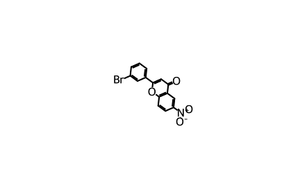 O=c1cc(-c2cccc(Br)c2)oc2ccc([N+](=O)[O-])cc12